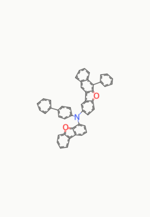 c1ccc(-c2ccc(N(c3ccc4oc5c(-c6ccccc6)c6ccccc6cc5c4c3)c3cccc4c3oc3ccccc34)cc2)cc1